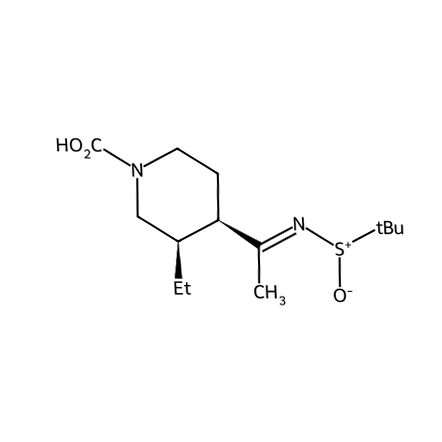 CC[C@H]1CN(C(=O)O)CC[C@H]1/C(C)=N/[S+]([O-])C(C)(C)C